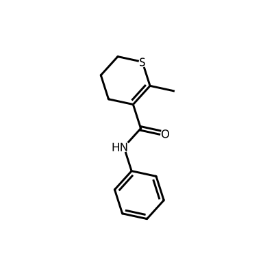 CC1=C(C(=O)Nc2ccccc2)CCCS1